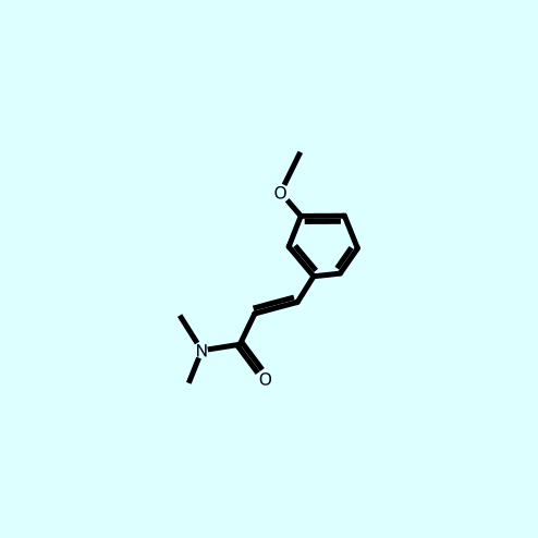 COc1cccc(C=CC(=O)N(C)C)c1